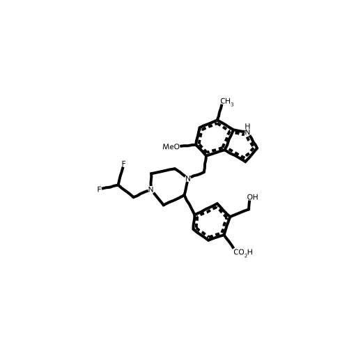 COc1cc(C)c2[nH]ccc2c1CN1CCN(CC(F)F)CC1c1ccc(C(=O)O)c(CO)c1